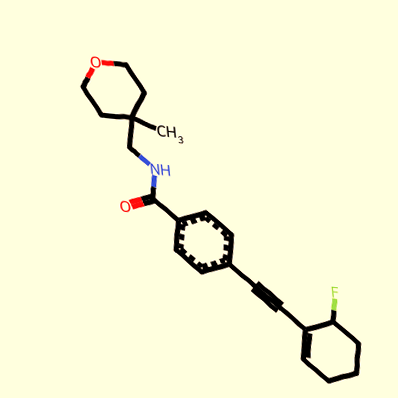 CC1(CNC(=O)c2ccc(C#CC3=CCCCC3F)cc2)CCOCC1